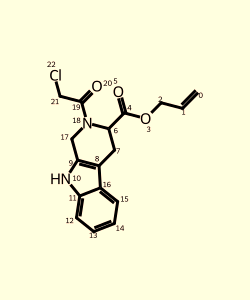 C=CCOC(=O)C1Cc2c([nH]c3ccccc23)CN1C(=O)CCl